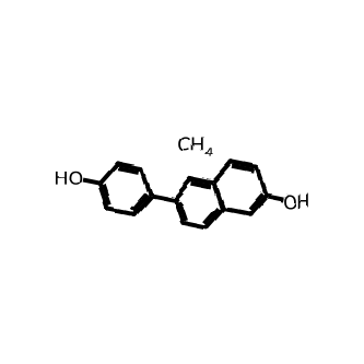 C.Oc1ccc(-c2ccc3cc(O)ccc3c2)cc1